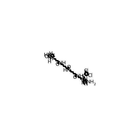 Nc1ncnc2c1nc(Sc1cc(Cl)cc(Cl)c1)n2CCCNC(=O)CCCCCNC(=O)CCCCCNC(=O)CCCC[C@@H]1SC[C@@H]2NC(=O)N[C@@H]21